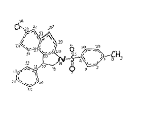 Cc1ccc(S(=O)(=O)N2CC(c3ccccc3)c3c2ccc2cc(Cl)ccc32)cc1